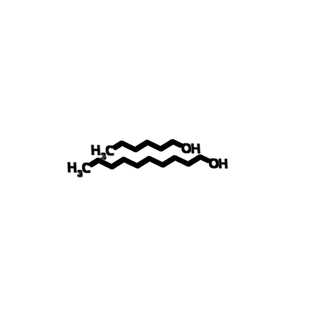 CCCCCCCCCCO.CCCCCCO